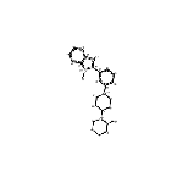 CC1CCCCN1C1CCN(c2cccc(-c3nc4ccccc4n3C)c2)CC1